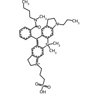 CCCCN(C)C(=O)c1ccccc1C1=c2cc3c(cc2[Si](C)(C)c2cc4c(cc21)CCN4CCC)=[N+](CCCS(=O)(=O)O)CC3